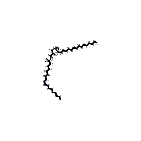 CCCCCCCC/C=C\CCCCCCCC(=O)OCC(CN)OC(=O)CCCCCCCCCCCCCCC